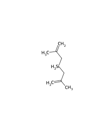 C=C(C)C[SiH2]CC(=C)C